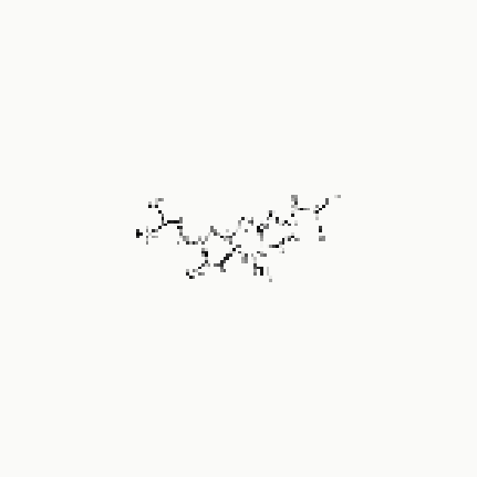 CCN(C)C=Nc1cc(C)c(N(C)c2ccc(SC(F)F)cc2)cc1Cl